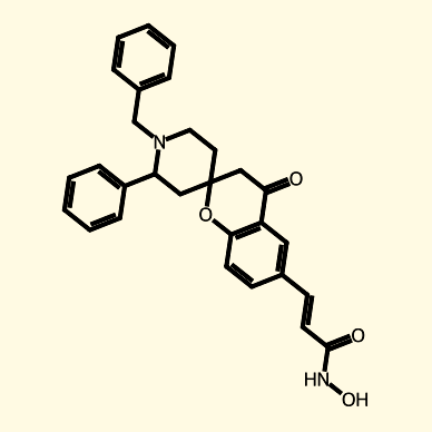 O=C(C=Cc1ccc2c(c1)C(=O)CC1(CCN(Cc3ccccc3)C(c3ccccc3)C1)O2)NO